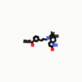 C/C=C1\[C@H]2C=C(C)C[C@]1(N=CC=Cc1cccc(C(=O)NC)c1)c1ccc(=O)[nH]c1C2